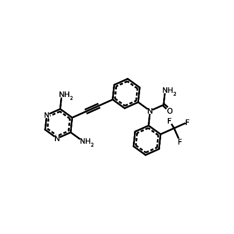 NC(=O)N(c1cccc(C#Cc2c(N)ncnc2N)c1)c1ccccc1C(F)(F)F